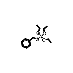 CC[O][Zr]([O]CC)([O]CC)[O]Cc1ccccc1